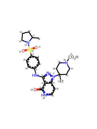 CCC1(n2nc(Nc3ccc(S(=O)(=O)N4CCCC4C)cc3)c3c(=O)[nH]ccc32)CCN(C(=O)O)CC1